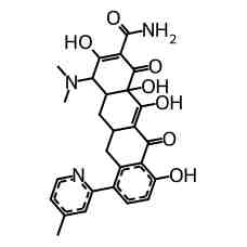 Cc1ccnc(-c2ccc(O)c3c2CC2CC4C(N(C)C)C(O)=C(C(N)=O)C(=O)C4(O)C(O)=C2C3=O)c1